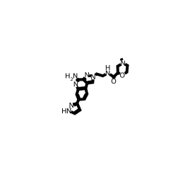 CN1CCOC(C(=O)NCCn2cc3c(n2)c(N)nc2cc(-c4cc[nH]n4)ccc23)C1